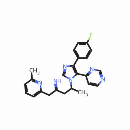 Cc1cccc(CC(=N)CC(C)n2cnc(-c3ccc(F)cc3)c2-c2ccncn2)n1